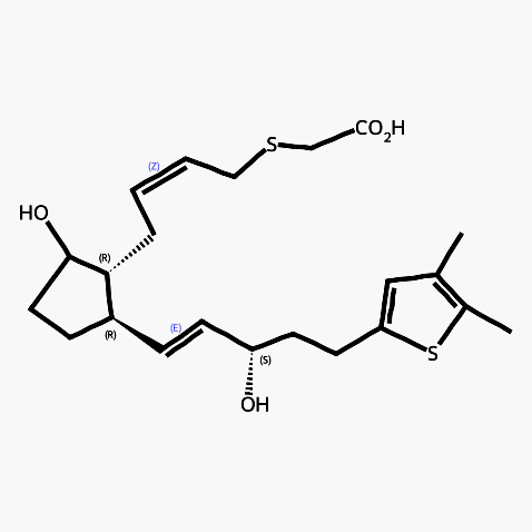 Cc1cc(CC[C@H](O)/C=C/[C@H]2CCC(O)[C@@H]2C/C=C\CSCC(=O)O)sc1C